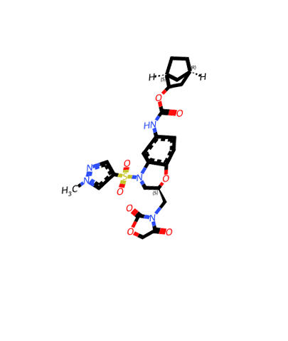 Cn1cc(S(=O)(=O)N2C[C@H](CN3C(=O)COC3=O)Oc3ccc(NC(=O)OC4C[C@@H]5CC[C@H]4C5)cc32)cn1